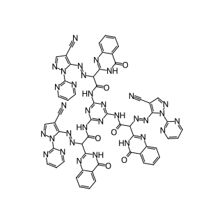 N#Cc1cnn(-c2ncccn2)c1N=NC(C(=O)Nc1nc(NC(=O)C(N=Nc2c(C#N)cnn2-c2ncccn2)c2nc3ccccc3c(=O)[nH]2)nc(NC(=O)C(N=Nc2c(C#N)cnn2-c2ncccn2)c2nc3ccccc3c(=O)[nH]2)n1)c1nc2ccccc2c(=O)[nH]1